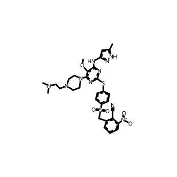 COc1c(Nc2cc(C)[nH]n2)nc(Sc2ccc(S(=O)(=O)Cc3cccc([N+](=O)[O-])c3C#N)cc2)nc1N1CCN(CCN(C)C)CC1